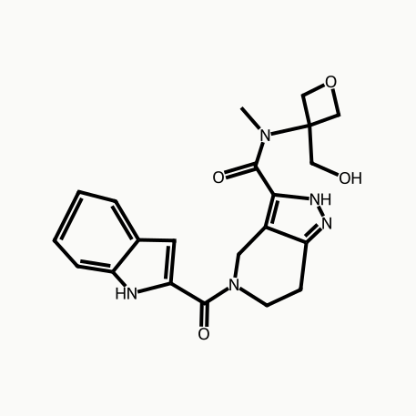 CN(C(=O)c1[nH]nc2c1CN(C(=O)c1cc3ccccc3[nH]1)CC2)C1(CO)COC1